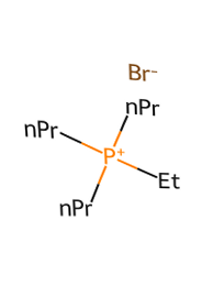 CCC[P+](CC)(CCC)CCC.[Br-]